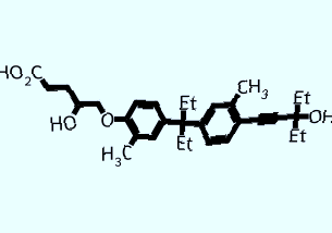 CCC(O)(C#Cc1ccc(C(CC)(CC)c2ccc(OCC(O)CCC(=O)O)c(C)c2)cc1C)CC